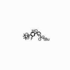 CC(C)(C)OC(=O)N1CCC(O)(c2ccc(B3OC(C)(C)C(C)(C)O3)c(F)c2)C1